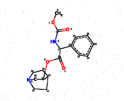 COC(=O)NC(C(=O)OC1CN2CCC1CC2)c1ccccc1